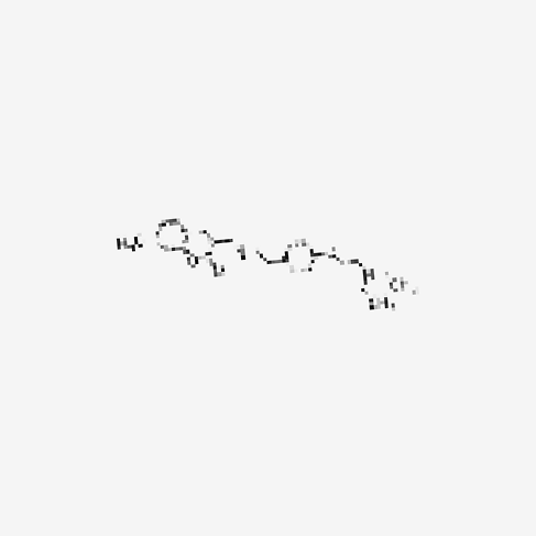 CCN(CC)CCOc1ccc(CCNCc2cc3ccc(C)cc3oc2=O)cc1